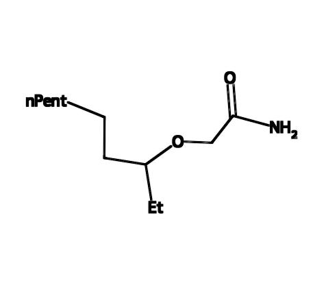 CCCCCCCC(CC)OCC(N)=O